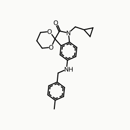 Cc1ccc(CNc2ccc3c(c2)C2(OCCCO2)C(=O)N3CC2CC2)cc1